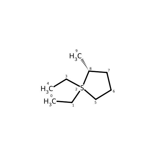 CCS1(CC)CCC[C@H]1C